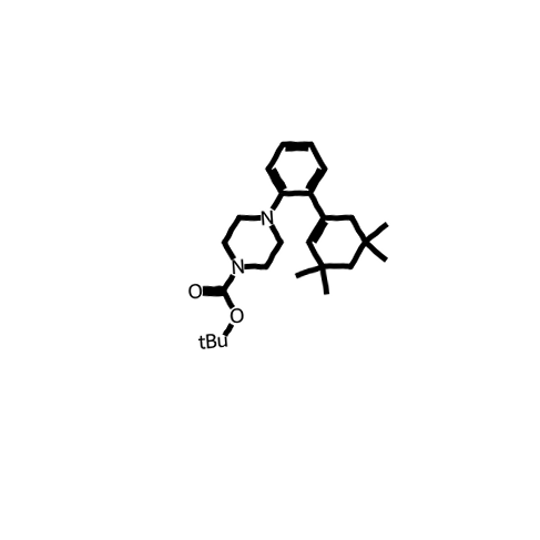 CC1(C)C=C(c2ccccc2N2CCN(C(=O)OC(C)(C)C)CC2)CC(C)(C)C1